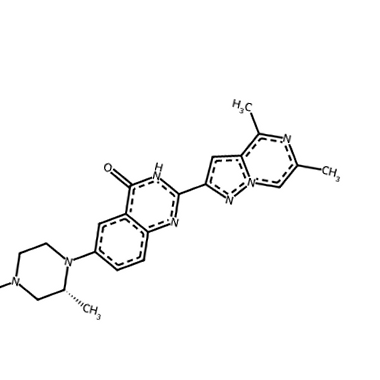 CCN1CCN(c2ccc3nc(-c4cc5c(C)nc(C)cn5n4)[nH]c(=O)c3c2)[C@H](C)C1